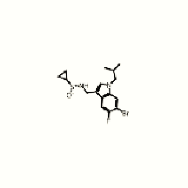 CC(C)Cn1cc(CN[S+]([O-])C2CC2)c2cc(F)c(Br)cc21